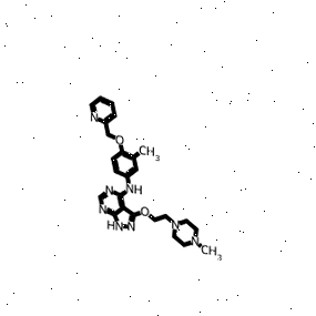 Cc1cc(Nc2ncnc3[nH]nc(OCCN4CCN(C)CC4)c23)ccc1OCc1ccccn1